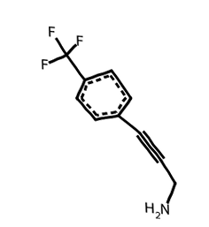 NCC#Cc1ccc(C(F)(F)F)cc1